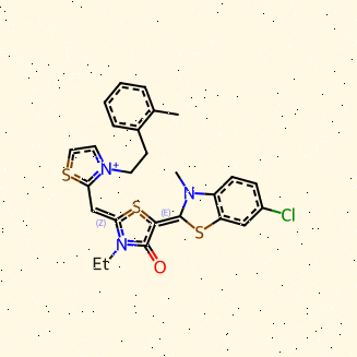 CCn1c(=O)/c(=C2\Sc3cc(Cl)ccc3N2C)s/c1=C\c1scc[n+]1CCc1ccccc1C